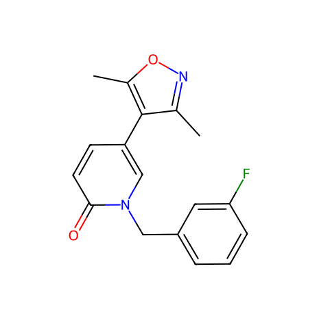 Cc1noc(C)c1-c1ccc(=O)n(Cc2cccc(F)c2)c1